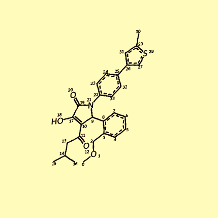 COCc1ccccc1C1C(C(=O)CC(C)C)=C(O)C(=O)N1c1ccc(-c2csc(C)c2)cc1